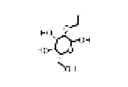 CCO[C@@H]1C(O)O[C@H](CO)[C@@H](O)[C@@H]1O